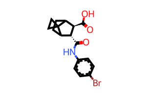 O=C(O)[C@@H]1C2CCC([C@H]1C(=O)Nc1ccc(Br)cc1)C21CC1